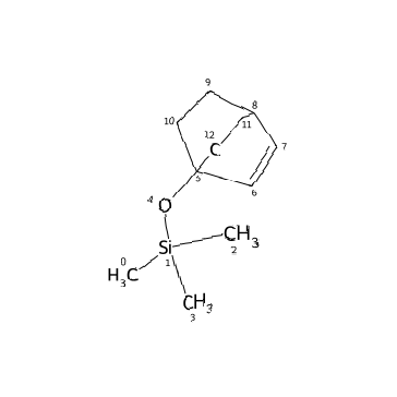 C[Si](C)(C)OC12C=CC(CC1)CC2